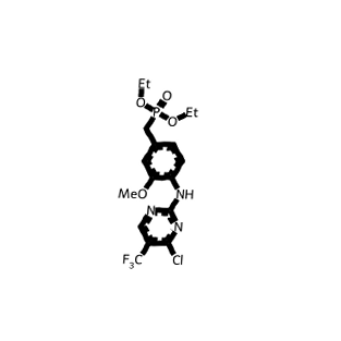 CCOP(=O)(Cc1ccc(Nc2ncc(C(F)(F)F)c(Cl)n2)c(OC)c1)OCC